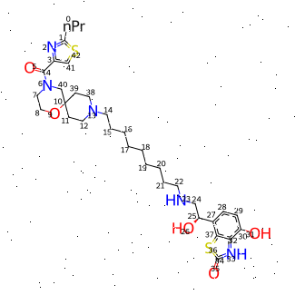 CCCc1nc(C(=O)N2CCOC3(CCN(CCCCCCCCCNC[C@H](O)c4ccc(O)c5[nH]c(=O)sc45)CC3)C2)cs1